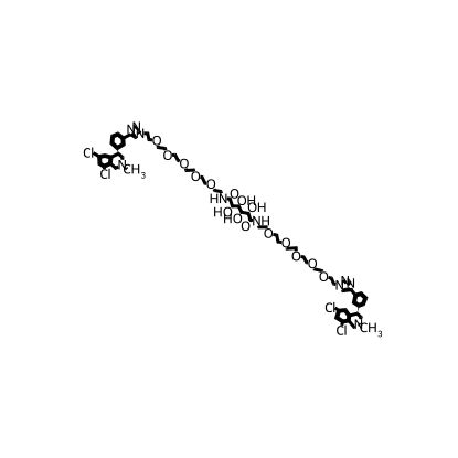 CN1Cc2c(Cl)cc(Cl)cc2[C@H](c2cccc(-c3cn(CCOCCOCCOCCOCCOCCNC(=O)[C@@H](O)[C@H](O)[C@H](O)[C@@H](O)C(=O)NCCOCCOCCOCCOCCOCCn4cc(-c5cccc([C@@H]6CN(C)Cc7c(Cl)cc(Cl)cc76)c5)nn4)nn3)c2)C1